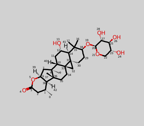 C[C@@H]1CC(=O)O[C@H]2C[C@@]3(C)[C@@H]4C[C@H](O)[C@H]5C(C)(C)[C@@H](O[C@@H]6OC[C@@H](O)[C@H](O)[C@H]6O)CC[C@@]56C[C@@]46CC[C@]3(C)[C@@H]12